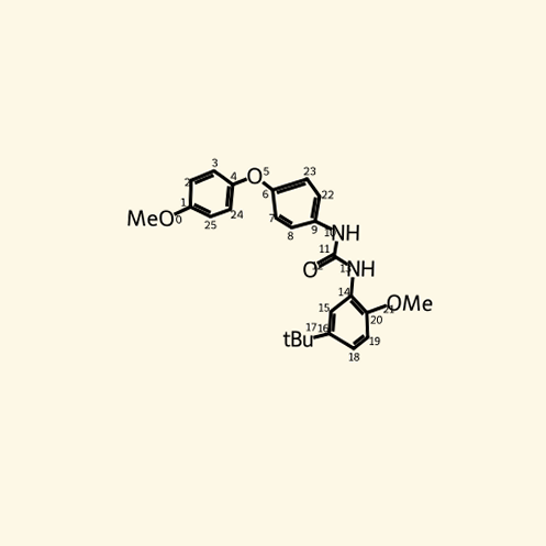 COc1ccc(Oc2ccc(NC(=O)Nc3cc(C(C)(C)C)ccc3OC)cc2)cc1